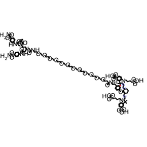 COC(=O)N(CCN(CC(=O)NCCOCCOCCOCCOCCOCCOCCOCCOCCOCCOCCOCCOCCC(=O)NCCc1ccc(OC2=C(/C=C/C3=[N+](CCCCS(=O)(=O)O)c4ccc(S(=O)(=O)O)cc4C3(C)C)CCC/C2=C\C=C2\N(CCCCS(=O)(=O)O)c3ccc(S(=O)(=O)O)cc3C2(C)C)cc1)CC(=O)Nc1ccc(S(N)(=O)=O)cc1)CC(=O)Nc1ccc(S(N)(=O)=O)cc1